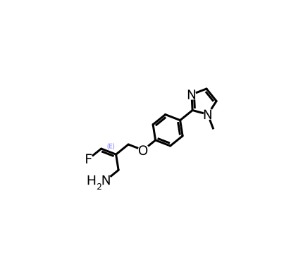 Cn1ccnc1-c1ccc(OC/C(=C/F)CN)cc1